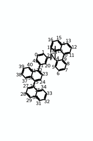 c1cc(Nc2ccccc2-c2cccc3ccccc23)cc(-c2ccc(-c3cccc4ccccc34)c3ccccc23)c1